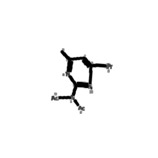 CC(=O)N(C(C)=O)c1nc(C)cc(C(C)C)n1